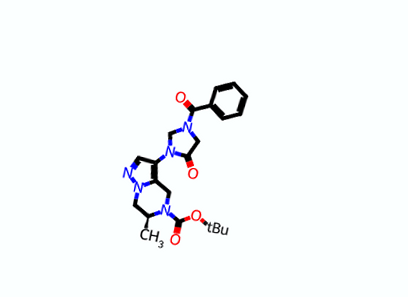 C[C@H]1Cn2ncc(N3CN(C(=O)c4ccccc4)CC3=O)c2CN1C(=O)OC(C)(C)C